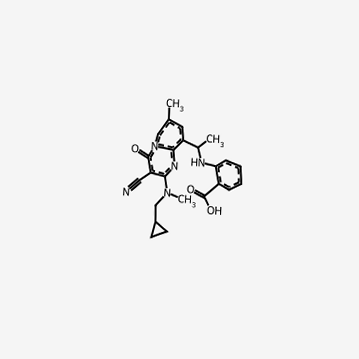 Cc1cc(C(C)Nc2ccccc2C(=O)O)c2nc(N(C)CC3CC3)c(C#N)c(=O)n2c1